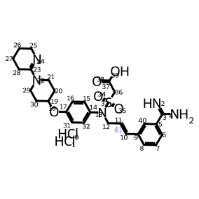 Cl.Cl.N=C(N)c1cccc(/C=C/CN(c2ccc(OC3CCN(C4=NCCCC4)CC3)cc2)S(=O)(=O)CC(=O)O)c1